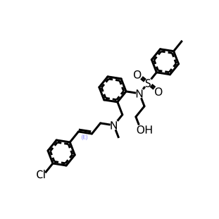 Cc1ccc(S(=O)(=O)N(CCO)c2ccccc2CN(C)C/C=C/c2ccc(Cl)cc2)cc1